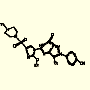 CCOc1ncc(S(=O)(=O)N2CCN(CC)CC2)cc1-c1nc2c(CC)n(-c3ccc(C#N)cc3)nc2c(=O)[nH]1